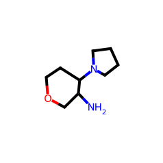 NC1COCCC1N1CCCC1